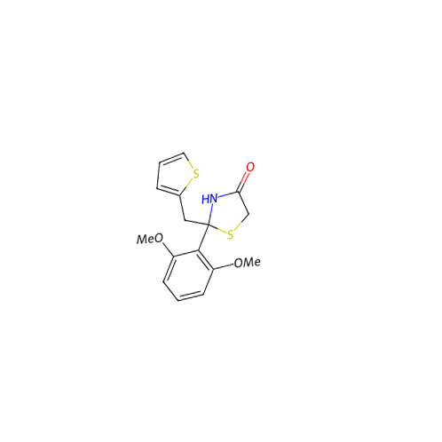 COc1cccc(OC)c1C1(Cc2cccs2)NC(=O)CS1